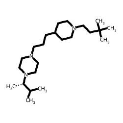 CC(C)[C@H](C)N1CCN(CCCC2CCN(CCC(C)(C)C)CC2)CC1